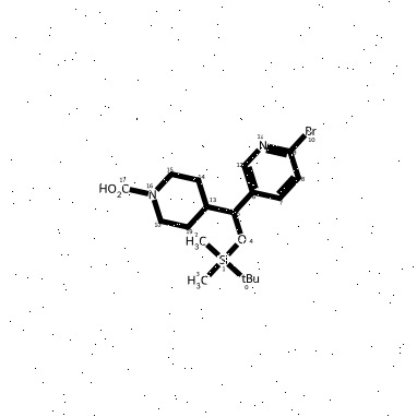 CC(C)(C)[Si](C)(C)OC(c1ccc(Br)nc1)C1CCN(C(=O)O)CC1